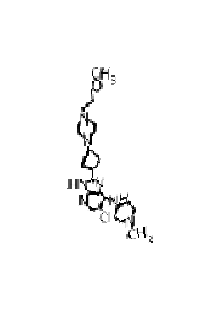 CCN1CCC(Nc2c(Cl)cnc3[nH]c(-c4ccc(N5CCN(CCCOC)CC5)cc4)nc23)CC1